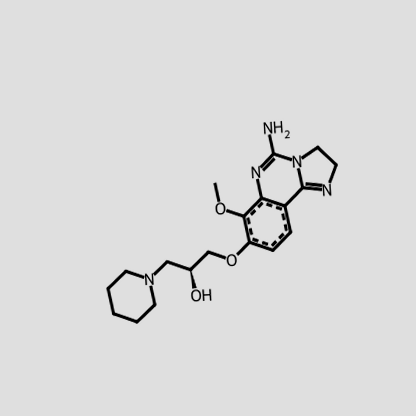 COc1c(OC[C@@H](O)CN2CCCCC2)ccc2c1N=C(N)N1CCN=C21